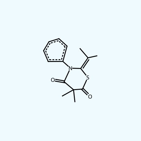 CC(C)=C1SC(=O)C(C)(C)C(=O)N1c1ccccc1